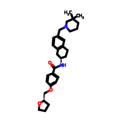 CC1(C)CCCN(Cc2ccc3c(c2)CC[C@H](NC(=O)c2ccc(OC[C@@H]4CCCO4)cc2)C3)C1